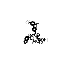 O=C(CCP(=O)(O)O)N[C@@H](CC(=O)Oc1ccc2c(c1)CCC2)Cc1ccc(-c2cc(Cl)ccc2F)cc1